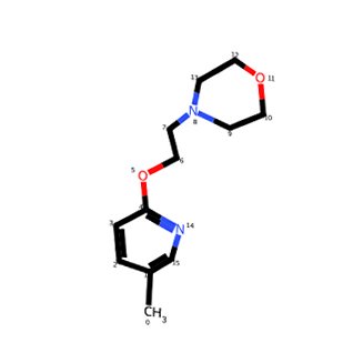 Cc1ccc(OCCN2CCOCC2)nc1